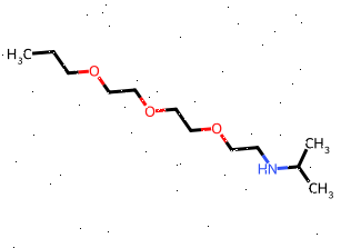 CCCOCCOCCOCCNC(C)C